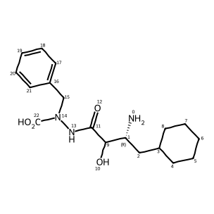 N[C@H](CC1CCCCC1)C(O)C(=O)NN(Cc1ccccc1)C(=O)O